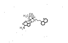 CC1(C)O[C@@H]2[C@@H](CCCc3cccc4cccnc34)C[C@@H](n3ccc4c(N)ncnc43)[C@@H]2O1